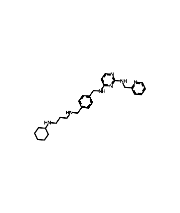 c1ccc(CNc2nccc(NCc3ccc(CNCCCNC4CCCCC4)cc3)n2)nc1